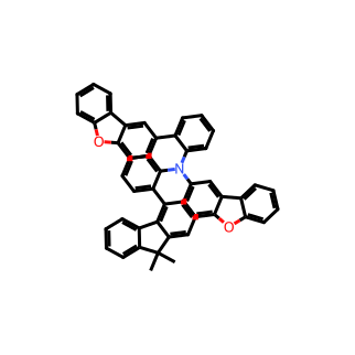 CC1(C)c2ccccc2-c2c(-c3ccccc3N(c3ccc4oc5ccccc5c4c3)c3ccccc3-c3ccc4oc5ccccc5c4c3)cccc21